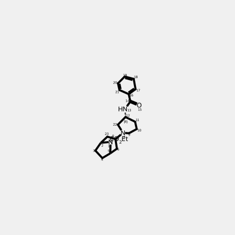 CCOC(=O)N1C2CCC1CC(N1CCC[C@@H](NC(=O)c3ccccc3)C1)C2